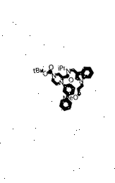 COCCCn1cc(CN(C(=O)C2CN(C(=O)OC(C)(C)C)CCN2c2cccc(-c3ccccc3)c2)C(C)C)c2ccccc21